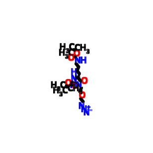 CC(C)(C)OC(=O)NCCCC[C@H](NC(=O)OC(C)(C)C)C(=O)NCCOCCN=[N+]=[N-]